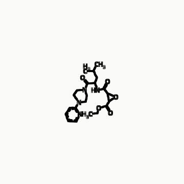 CCOC(=O)C1OC1C(=O)NC(CC(C)C)C(=O)N1CCN(c2ccccn2)CC1